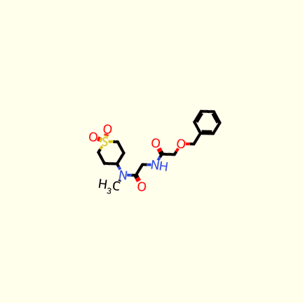 CN(C(=O)CNC(=O)COCc1ccccc1)C1CCS(=O)(=O)CC1